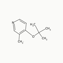 [CH2]c1cnccc1OC(C)(C)C